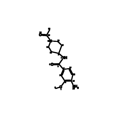 COc1cc(C(=O)NC2CCN(C(C)=O)CC2)ccc1N